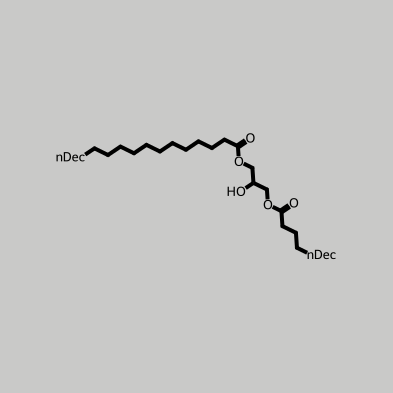 CCCCCCCCCCCCCCCCCCCCCC(=O)OCC(O)COC(=O)CCCCCCCCCCCCC